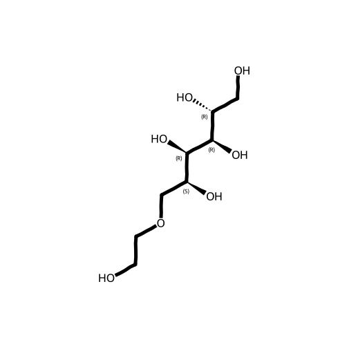 OCCOC[C@H](O)[C@@H](O)[C@H](O)[C@H](O)CO